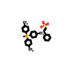 C[P+](c1ccc(C(F)(F)F)cc1)(c1ccc(C(F)(F)F)cc1)c1ccc(C(F)(F)F)cc1.O=S(=O)([O-])C=Cc1ccccc1